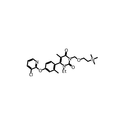 CCn1c(-c2ccc(Oc3ncccc3Cl)cc2C)c(C)c(=O)n(COCC[Si](C)(C)C)c1=O